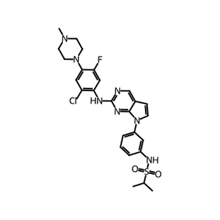 CC(C)S(=O)(=O)Nc1cccc(-n2ccc3cnc(Nc4cc(F)c(N5CCN(C)CC5)cc4Cl)nc32)c1